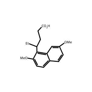 CCC(CCC(=O)O)c1c(OC)ccc2ccc(OC)cc12